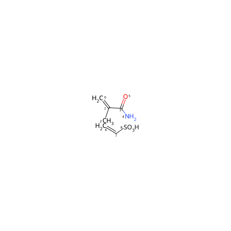 C=C(C)C(N)=O.C=CS(=O)(=O)O